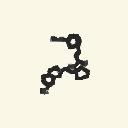 COc1cccc(C=CC(=O)NC2(CCN3CCc4ccc(C#N)cc4C3)CCCCC2)c1